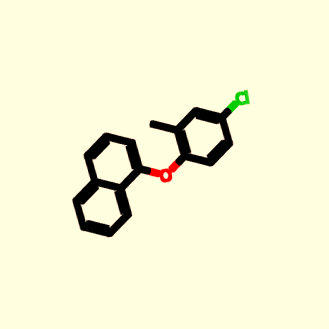 Cc1cc(Cl)ccc1Oc1cccc2ccccc12